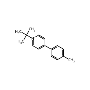 Cc1ccc(-c2cc[n+](C(C)(C)C)cc2)cc1